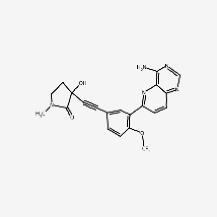 CN1CCC(O)(C#Cc2ccc(OC(F)(F)F)c(-c3ccc4ncnc(N)c4n3)c2)C1=O